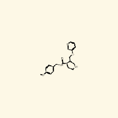 COc1ccc(CNC(=O)N2CCNCC2COc2cccnc2)cc1